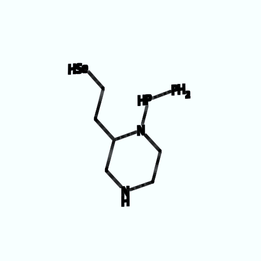 PPN1CCNCC1CC[SeH]